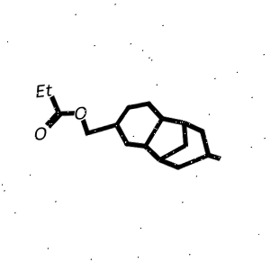 CCC(=O)OCC1CCC2C3CC(C)CC(C3)C2C1